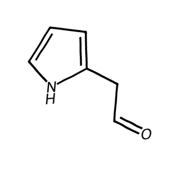 O=CCc1ccc[nH]1